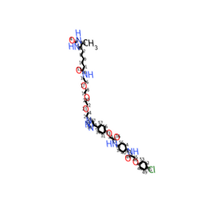 C[C@@H]1NC(=O)N[C@@H]1CCCCCC(=O)NCCOCCOCCOCCn1cc(-c2ccc(OCC(=O)N[C@H]3CC[C@H](NC(=O)COc4ccc(Cl)cc4)CC3)cc2)nn1